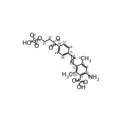 Cc1cc(N)c(S(=O)(=O)O)c(C)c1N=Nc1ccc(S(=O)(=O)CCOS(=O)(=O)O)cc1